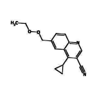 CCOOCc1ccc2ncc(C#N)c(C3CC3)c2c1